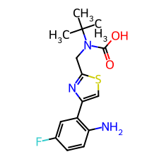 CC(C)(C)N(Cc1nc(-c2cc(F)ccc2N)cs1)C(=O)O